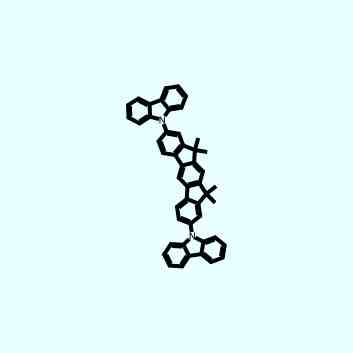 CC1(C)c2cc(-n3c4ccccc4c4ccccc43)ccc2-c2cc3c(cc21)C(C)(C)c1cc(-n2c4ccccc4c4ccccc42)ccc1-3